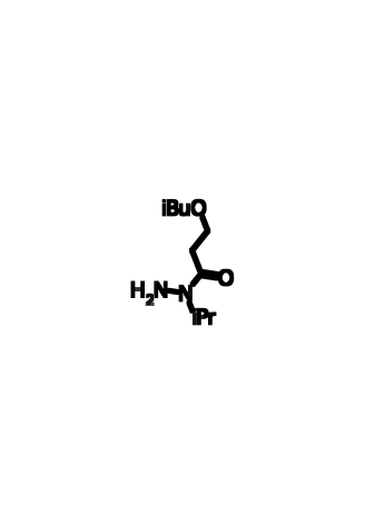 CC(C)COCCC(=O)N(N)C(C)C